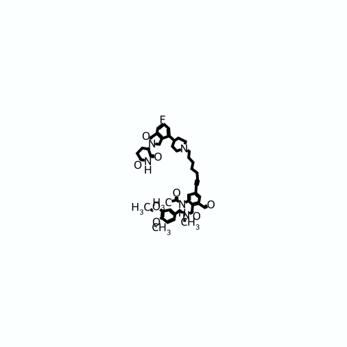 CCOc1cc(CN(C)C(=O)c2c(C=O)cc(C#CCCCCCN3CCC(c4cc(F)cc5c4CN(C4CCC(=O)NC4=O)C5=O)CC3)cc2NC(C)=O)ccc1OC